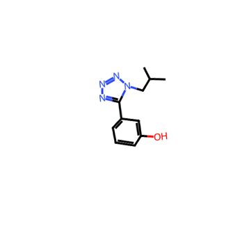 CC(C)Cn1nnnc1-c1cccc(O)c1